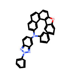 c1ccc(N(c2ccc3nn(-c4ccccc4)nc3c2)c2ccc3ccc4ccc5oc6ccccc6c5c4c3c2)cc1